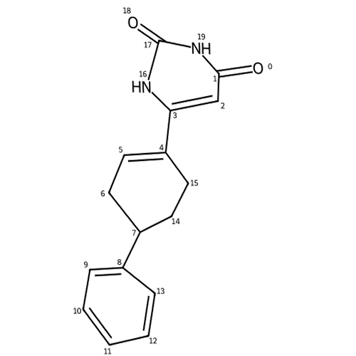 O=c1cc(C2=CCC(c3ccccc3)CC2)[nH]c(=O)[nH]1